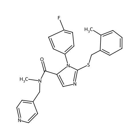 Cc1ccccc1CSc1ncc(C(=O)N(C)Cc2ccncc2)n1-c1ccc(F)cc1